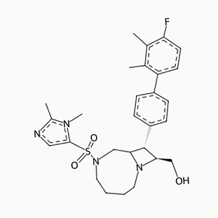 Cc1c(F)ccc(-c2ccc([C@H]3C4CN(S(=O)(=O)c5cnc(C)n5C)CCCCN4[C@@H]3CO)cc2)c1C